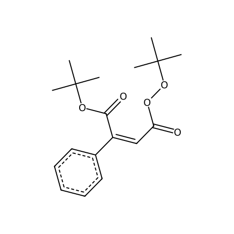 CC(C)(C)OOC(=O)/C=C(\C(=O)OC(C)(C)C)c1ccccc1